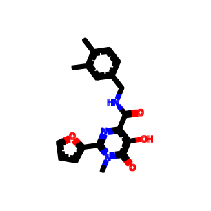 Cc1ccc(CNC(=O)c2nc(-c3ccco3)n(C)c(=O)c2O)cc1C